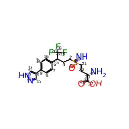 N=S(=O)(CCC(c1ccc(-c2cn[nH]c2)cc1)C(F)(F)F)CC[C@H](N)C(=O)O